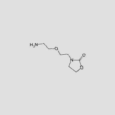 NCCOCCN1CCOC1=O